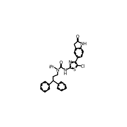 CC(C)N(CCC(c1ccccc1)c1ccccc1)C(=O)Nc1nc(-c2ccc3c(c2)CC(=O)N3)c(Cl)s1